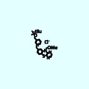 COCN1c2cc(C[n+]3cccc(CO[Si](C)(C)C(C)(C)C)c3)ccc2Sc2nccnc21.[Cl-]